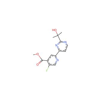 COC(=O)c1cc(-c2ccnc(C(C)(C)O)n2)ncc1F